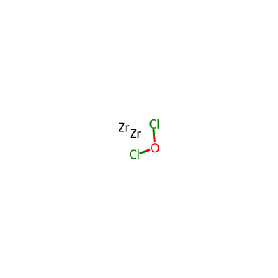 ClOCl.[Zr].[Zr]